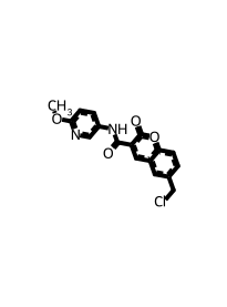 COc1ccc(NC(=O)c2cc3cc(CCl)ccc3oc2=O)cn1